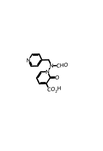 O=CN(Cc1ccncc1)n1cccc(C(=O)O)c1=O